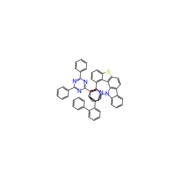 c1ccc(-c2nc(-c3ccccc3)nc(-c3cc(-c4ccccc4-c4ccccc4)cnc3-c3cccc4sc5ccc6c7ccccc7n(-c7ccccc7)c6c5c34)n2)cc1